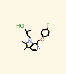 CC(C)=CCn1c(C)c(C)c2ccnc(COc3ccc(F)cc3)c21.Cl